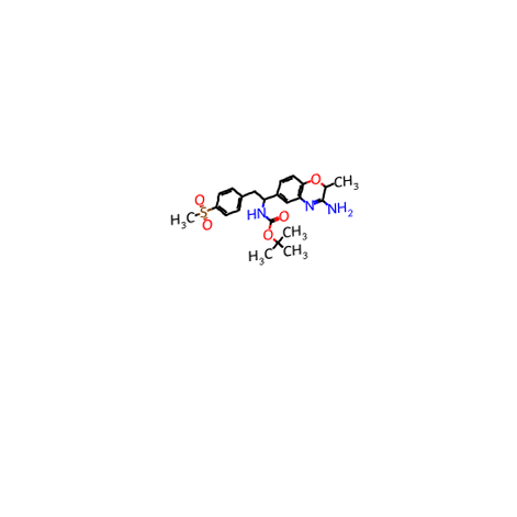 CC1Oc2ccc(C(Cc3ccc(S(C)(=O)=O)cc3)NC(=O)OC(C)(C)C)cc2N=C1N